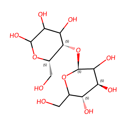 OCC1O[C@@H](O[C@H]2C(O)C(O)C(O)O[C@H]2CO)C(O)[C@@H](O)[C@@H]1O